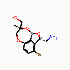 C[C@]1(CO)COc2ccc(Br)c3c2B(O[C@@H]3CN)O1